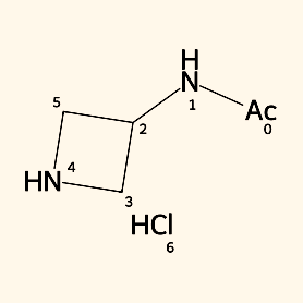 CC(=O)NC1CNC1.Cl